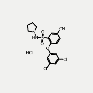 Cl.N#Cc1ccc(Oc2cc(Cl)cc(Cl)c2)c(S(=O)(=O)NN2CCCC2)c1